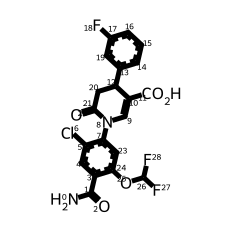 NC(=O)c1cc(Cl)c(N2C=C(C(=O)O)C(c3cccc(F)c3)CC2=O)cc1OC(F)F